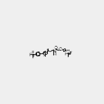 C=C(CCNC(=O)CO[C@H]1C[C@@H](OC(F)(F)F)C1)n1cnc(-c2ccc(C(F)(F)F)cc2)c1